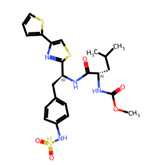 COC(=O)N[C@@H](CC(C)C)C(=O)N[C@@H](Cc1ccc(N[SH](=O)=O)cc1)c1nc(-c2cccs2)cs1